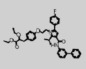 CCOC(=O)C(Cc1ccc(OCCn2c(-c3ccc(F)cc3)cc(C(=O)Nc3cccc(-c4ccccc4)c3)c2C(C)C)cc1)OCC